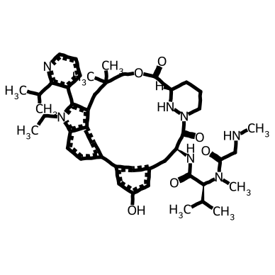 CCn1c(-c2cccnc2C(C)C)c2c3cc(ccc31)-c1cc(O)cc(c1)C[C@H](NC(=O)[C@H](C(C)C)N(C)C(=O)CNC)C(=O)N1CCC[C@H](N1)C(=O)OCC(C)(C)C2